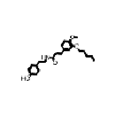 CCCCCOc1cc(C=CC(=O)NCCc2ccc(O)cc2)ccc1OC